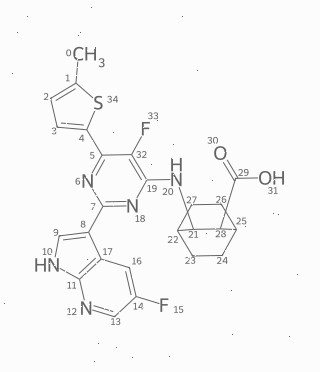 Cc1ccc(-c2nc(-c3c[nH]c4ncc(F)cc34)nc(NC3C4CCC(CC4)C3C(=O)O)c2F)s1